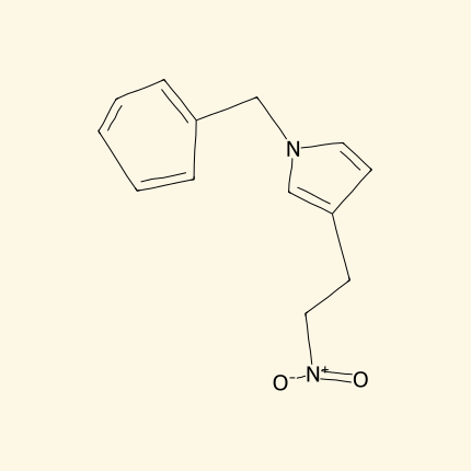 O=[N+]([O-])CCc1ccn(Cc2ccccc2)c1